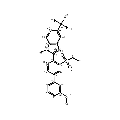 CCS(=O)(=O)c1cc(-c2cccc(SC)c2)cnc1-c1nc2cc(C(F)(F)F)ncc2n1C